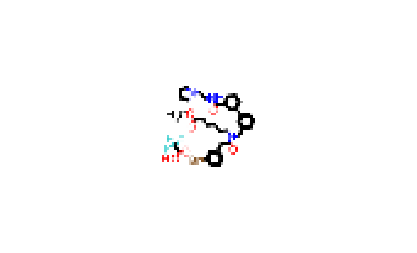 COC(=O)CCCCCN(Cc1cccc(-c2cccc(C(=O)NCCN3CCCC3)c2)c1)C(=O)Cc1cccc(Br)c1.O=C(O)C(F)(F)F